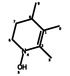 CC1=C(C)N(O)CCC1C